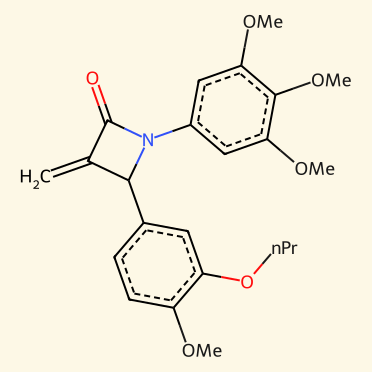 C=C1C(=O)N(c2cc(OC)c(OC)c(OC)c2)C1c1ccc(OC)c(OCCC)c1